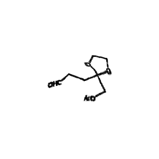 CC(=O)OCC1(CCC=O)OCCO1